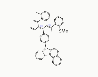 C=C/C(C(=C)c1ccccc1C)=C(/C=C(\C)c1ccccc1SC)c1ccc(C2=C3C=CC=CC3c3c2ccc2ccccc32)cc1